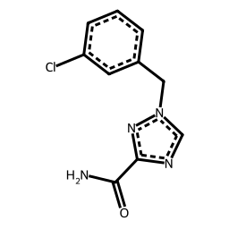 NC(=O)c1ncn(Cc2cccc(Cl)c2)n1